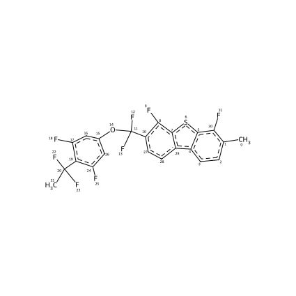 Cc1ccc2c(sc3c(F)c(C(F)(F)Oc4cc(F)c(C(C)(F)F)c(F)c4)ccc32)c1F